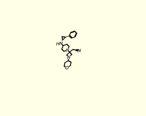 N#CCC1(N2CCC(N[C@@H]3C[C@H]3c3ccccc3)CC2)CN(C2CCOCC2)C1